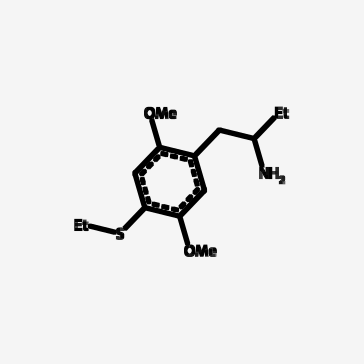 CCSc1cc(OC)c(CC(N)CC)cc1OC